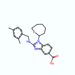 Cc1ccc(CNc2nc3cc(C(=O)O)ccc3n2C2CCCCCC2)c(C)c1